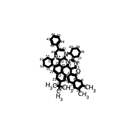 Cc1cc2ccc3c(c2cc1C)OC1N=C[N+]2=C(c4c(ccc5cc(C(C)(C)C)ccc45)C4C2N(C2CCCCC2)C=C(c2ccccc2)C=[N+]4C2CCCCC2)C31